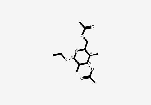 CCS[C@@H]1OC(COC(C)=O)[C@@H](C)[C@H](OC(C)=O)C1C